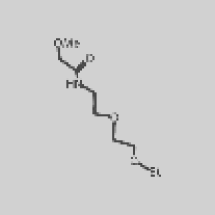 CCOCCOCCNC(=O)COC